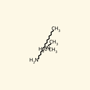 CCCCCCCCCCCCCCCCN.CCCN(C)C